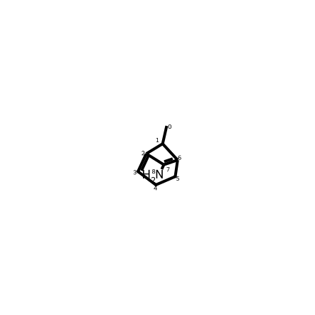 CC1C2=CCCC1=C2N